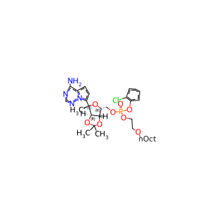 CCCCCCCCOCCOP(=O)(OC[C@H]1O[C@@](C)(c2ccc3c(N)ncnn23)[C@@H]2OC(C)(C)O[C@@H]21)Oc1ccccc1Cl